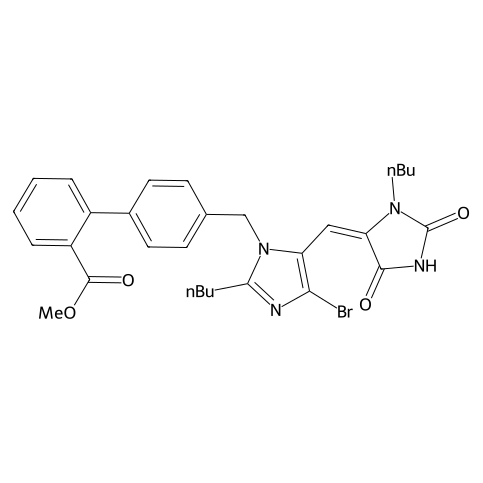 CCCCc1nc(Br)c(/C=C2\C(=O)NC(=O)N2CCCC)n1Cc1ccc(-c2ccccc2C(=O)OC)cc1